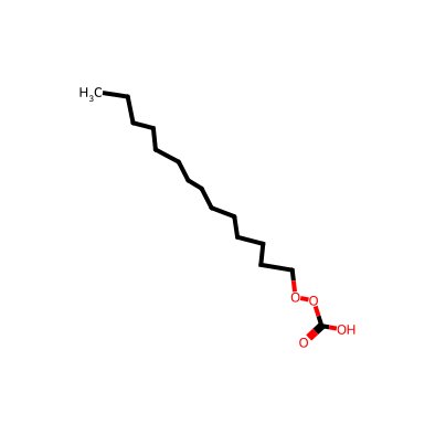 CCCCCCCCCCCCCCOOC(=O)O